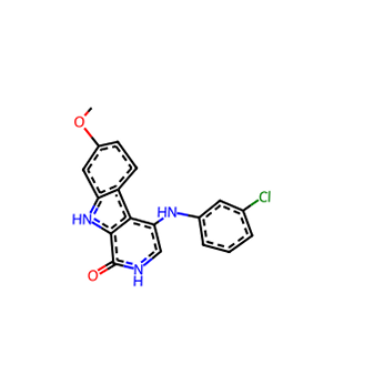 COc1ccc2c(c1)[nH]c1c(=O)[nH]cc(Nc3cccc(Cl)c3)c12